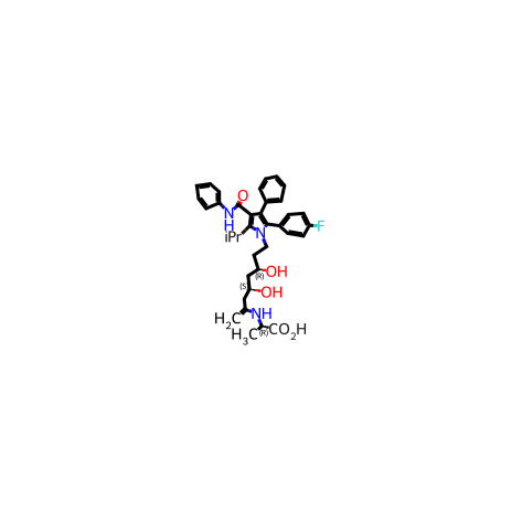 C=C(C[C@H](O)C[C@H](O)CCn1c(-c2ccc(F)cc2)c(-c2ccccc2)c(C(=O)Nc2ccccc2)c1C(C)C)N[C@H](C)C(=O)O